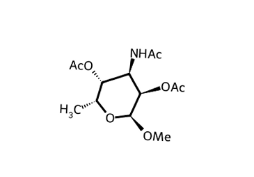 CO[C@H]1O[C@H](C)[C@H](OC(C)=O)[C@@H](NC(C)=O)[C@H]1OC(C)=O